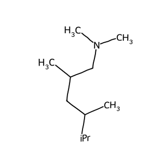 CC(CC(C)C(C)C)CN(C)C